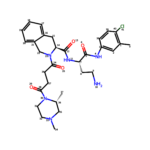 Cc1cc(NC(=O)[C@H](CCN)NC(=O)[C@@H]2Cc3ccccc3CN2C(=O)CCC(=O)N2CCN(C)C[C@H]2C)ccc1Cl